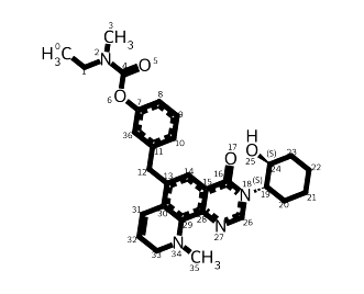 CCN(C)C(=O)Oc1cccc(Cc2cc3c(=O)n([C@H]4CCCC[C@@H]4O)cnc3c3c2C=CCN3C)c1